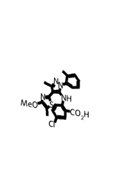 COc1nc(-c2c(C)nn(-c3ccccc3C)c2Nc2ccc(Cl)cc2C(=O)O)sc1C